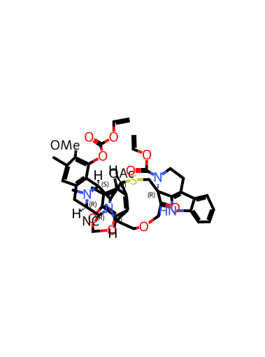 C=COC(=O)Oc1c(OC)c(C)cc2c1[C@H]1C3[C@@H]4SC[C@]5(C(=O)COC[C@@H](c6c7c(c(C)c(OC(C)=O)c64)OCO7)N3[C@@H](C#N)[C@@H](C2)N1C)c1[nH]c2ccccc2c1CCN5C(=O)OC=C